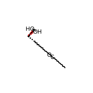 C=C.C=C.C=C.C=C.C=C.C=C.C=C.C=C.C=C.C=C.CCCCCCCCCCCCCCCCOCCCCCCCCCCCCCCCC.OCCO